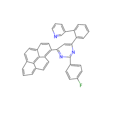 Fc1ccc(-c2nc(-c3ccccc3-c3cccnc3)cc(-c3ccc4ccc5cccc6ccc3c4c56)n2)cc1